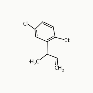 [CH2]C(C=C)c1cc(Cl)ccc1CC